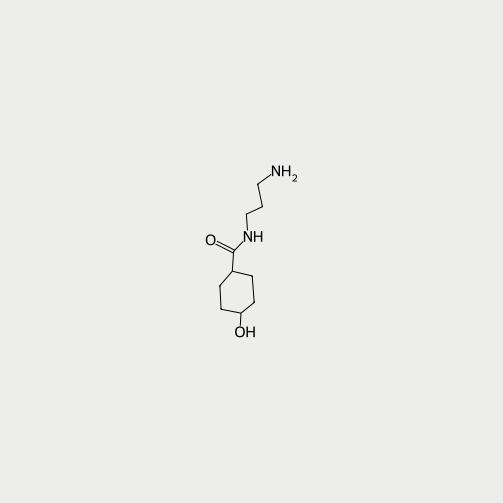 NCCCNC(=O)C1CCC(O)CC1